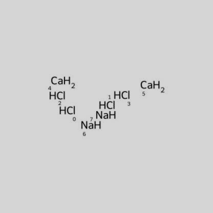 Cl.Cl.Cl.Cl.[CaH2].[CaH2].[NaH].[NaH]